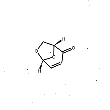 O=C1C=C[C@@H]2OC[C@H]1O2